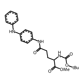 COC(=O)C(CCC(=O)Nc1ccc(Nc2ccccc2)cc1)NC(=O)OC(C)(C)C